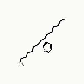 CCCCCCCCCCCCCCI.c1ccncc1